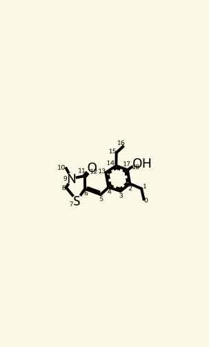 CCc1cc(C=C2SCN(C)C2=O)cc(CC)c1O